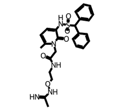 CC(=N)NOCCNC(=O)Cn1c(C)ccc(NS(=O)(=O)C(c2ccccc2)c2ccccc2)c1=O